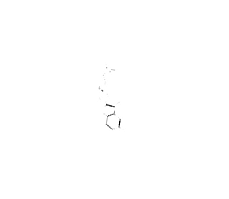 Cc1c(S(=O)(=O)NCCN(C)C)sc2ccc(Cl)cc12